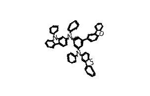 c1ccc(N(c2cc(-c3ccc4oc5ccccc5c4c3)cc(N(c3ccccc3)c3ccc4c5ccccc5n(-c5ccccc5)c4c3)c2)c2ccc3sc4ccccc4c3c2)cc1